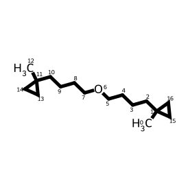 CC1(CCCCOCCCCC2(C)CC2)CC1